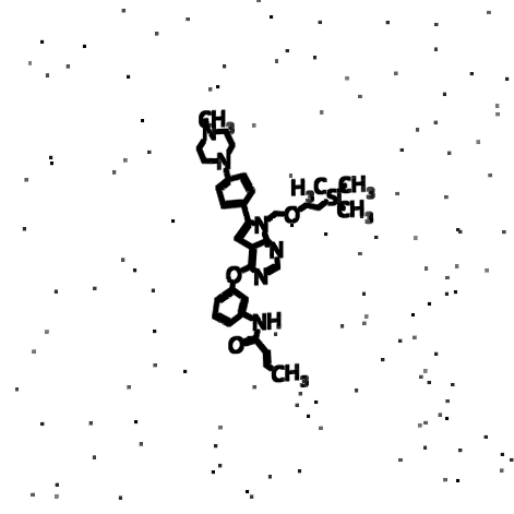 CC=CC(=O)Nc1cccc(Oc2ncnc3c2cc(-c2ccc(N4CCN(C)CC4)cc2)n3COCC[Si](C)(C)C)c1